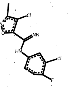 Cc1noc(C(=N)Nc2ccc(F)c(Cl)c2)c1Cl